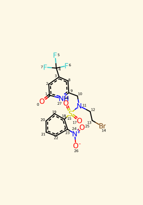 O=c1cc(C(F)(F)F)cc(CN(CCBr)S(=O)(=O)c2ccccc2[N+](=O)[O-])[nH]1